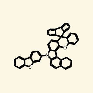 C1=Cc2ccc3c(c2CC1)c1c2c(ccc1n3-c1ccc3c(c1)sc1ccccc13)C1(c3ccccc3O2)c2ccccc2-c2ccccc21